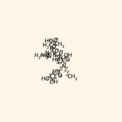 CCCCCN(CCNC(=O)c1ccc(O)c(O)c1)CC1=C(C(=O)O)N2C(=O)C(NC(=O)/C(=N\OC(C)(C)C(=O)O)c3nsc(N)n3)C2SC1